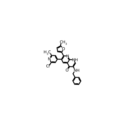 Cc1cc(-c2cc3c(=O)c(NCc4ccccc4)c[nH]c3nc2-c2ccc(C)o2)cc(Cl)n1